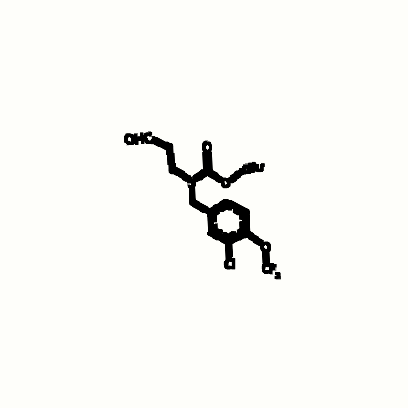 CC(C)(C)OC(=O)N(CCC=O)Cc1ccc(OC(F)(F)F)c(Cl)c1